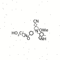 COc1cc(C)c2[nH]ccc2c1CN1CCC2(CC(C#N)C2)C[C@H]1c1ccc(C(=O)N2CCC(C)(C(=O)O)C2)cc1